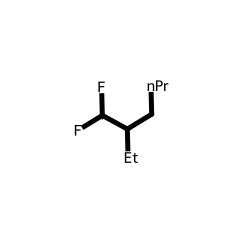 CCCCC(CC)[C](F)F